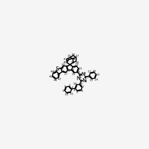 c1ccc(-c2cccc(-c3nc(-c4ccccc4)nc(-c4ccc5c(c4)-c4cc6c(cc4C54C5CC7CC(C5)CC4C7)sc4ccccc46)n3)c2)cc1